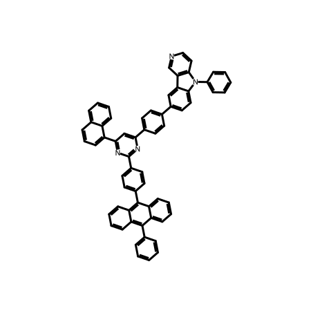 c1ccc(-c2c3ccccc3c(-c3ccc(-c4nc(-c5ccc(-c6ccc7c(c6)c6cnccc6n7-c6ccccc6)cc5)cc(-c5cccc6ccccc56)n4)cc3)c3ccccc23)cc1